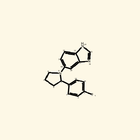 Fc1ccc(C2CCCN2c2ccc3[nH]cnc3c2)cc1